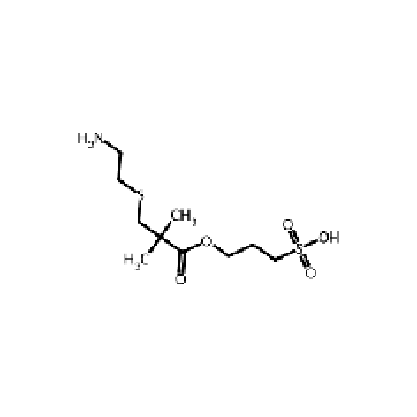 CC(C)(CSCCN)C(=O)OCCCS(=O)(=O)O